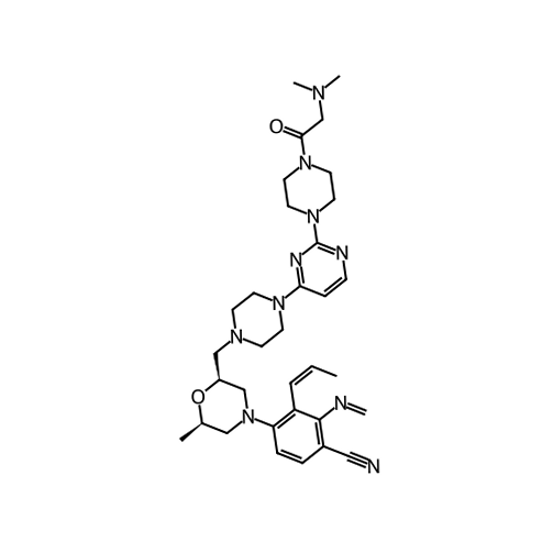 C=Nc1c(C#N)ccc(N2C[C@H](CN3CCN(c4ccnc(N5CCN(C(=O)CN(C)C)CC5)n4)CC3)O[C@H](C)C2)c1/C=C\C